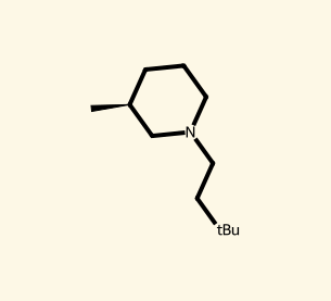 C[C@H]1CCCN(CCC(C)(C)C)C1